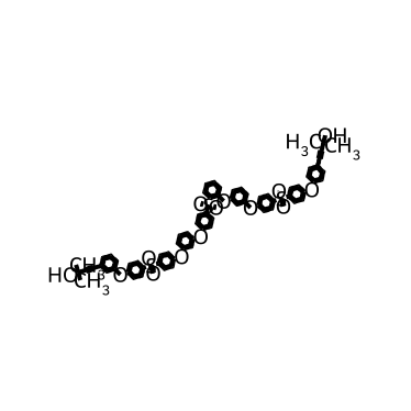 CC(C)(O)C#Cc1ccc(Oc2ccc(S(=O)(=O)c3ccc(Oc4cccc(Oc5ccccc5S(=O)(=O)c5ccc(Oc6cccc(Oc7ccc(S(=O)(=O)c8ccc(Oc9cccc(C#CC(C)(C)O)c9)cc8)cc7)c6)cc5)c4)cc3)cc2)cc1